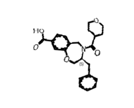 O=C(O)c1ccc2c(c1)OC[C@H](Cc1ccccc1)N(C(=O)C1CCOCC1)C2